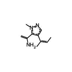 C=C(N)c1c(/C(C)=C\C)cnn1C